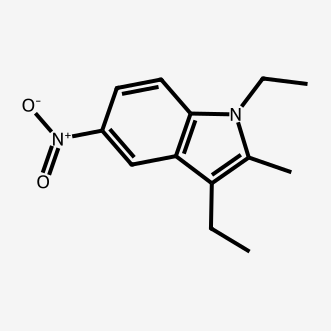 CCc1c(C)n(CC)c2ccc([N+](=O)[O-])cc12